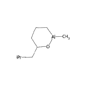 CC(C)CC1CC[CH2][Al]([CH3])[O]1